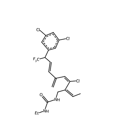 C=C(/C=C/C(c1cc(Cl)cc(Cl)c1)C(F)(F)F)/C=C(Cl)\C(=C/C)CNC(=O)NCC